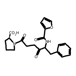 O=C(NC(Cc1ccccc1)C(=O)CCC(=O)N1CCC[C@H]1C(=O)O)c1ccco1